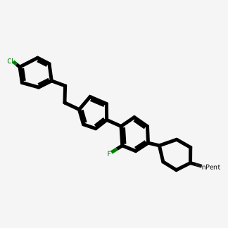 CCCCCC1CCC(c2ccc(-c3ccc(CCc4ccc(Cl)cc4)cc3)c(F)c2)CC1